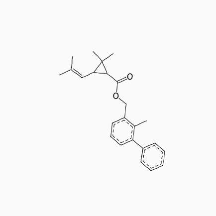 CC(C)=CC1C(C(=O)OCc2cccc(-c3ccccc3)c2C)C1(C)C